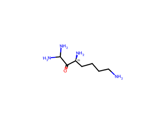 NCCCC[C@H](N)C(=O)C(N)N